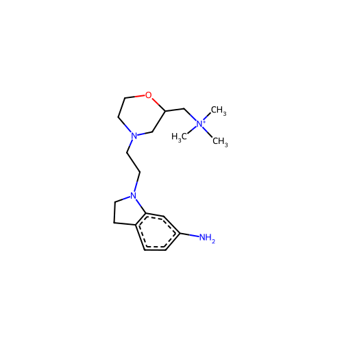 C[N+](C)(C)CC1CN(CCN2CCc3ccc(N)cc32)CCO1